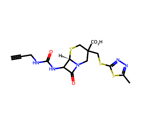 C#CCNC(=O)NC1C(=O)N2CC(CSc3nnc(C)s3)(C(=O)O)CS[C@H]12